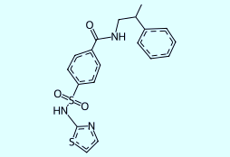 CC(CNC(=O)c1ccc(S(=O)(=O)Nc2nccs2)cc1)c1ccccc1